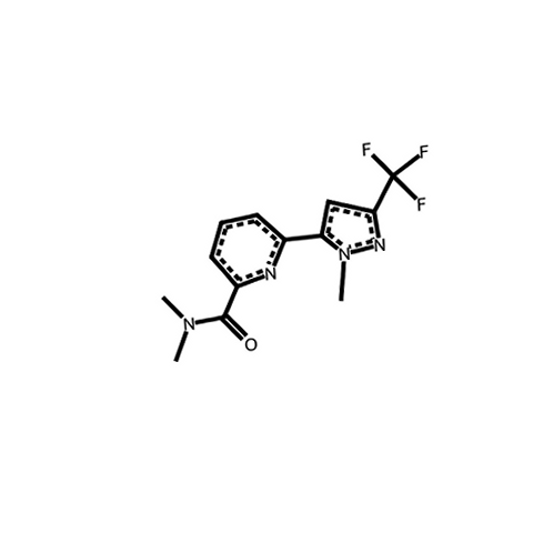 CN(C)C(=O)c1cccc(-c2cc(C(F)(F)F)nn2C)n1